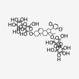 COc1ccc(OC)c(C2CC3C4CC=C5CC(OC6O[C@H](CO)[C@@H](O[C@@H]7O[C@H](CO)[C@@H](O)[C@H](O)[C@H]7O)[C@H](O)[C@H]6O)CCC5(C)C4CCC3(C)C2C(C)OC2O[C@H](CO)[C@@H](O[C@@H]3O[C@H](CO)[C@@H](O)[C@H](O)[C@H]3O)[C@H](O)[C@H]2O)c1